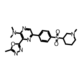 Cc1nnc(-c2nc(-c3ccc(S(=O)(=O)C4CCCN(C)C4)cc3)cnc2N(C)C)o1